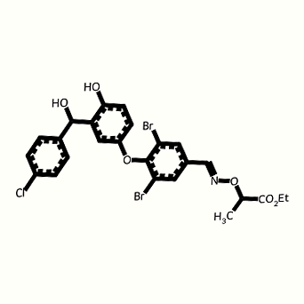 CCOC(=O)C(C)ON=Cc1cc(Br)c(Oc2ccc(O)c(C(O)c3ccc(Cl)cc3)c2)c(Br)c1